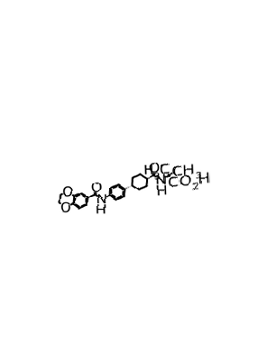 CC(C)(NC(=O)[C@H]1CC[C@H](c2ccc(NC(=O)c3ccc4c(c3)OCCO4)cc2)CC1)C(=O)O